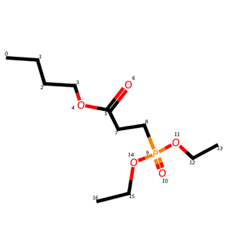 CCCCOC(=O)CCP(=O)(OCC)OCC